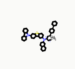 C=C(/C=C(\C=C/C)N(c1ccc2ccccc2c1)c1ccc2sc3cc(-n4c5ccccc5c5ccccc54)ccc3c2c1)c1ccc(-c2ccccc2)cc1